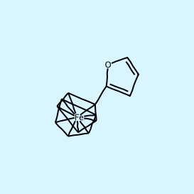 c1coc([C]23[CH]4[CH]5[CH]6[CH]2[Fe]56432789[CH]3[CH]2[CH]7[CH]8[CH]39)c1